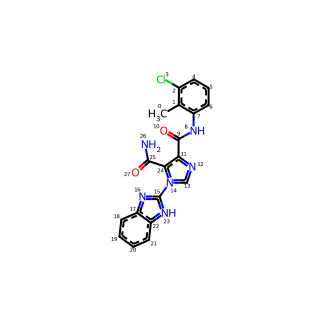 Cc1c(Cl)cccc1NC(=O)c1ncn(-c2nc3ccccc3[nH]2)c1C(N)=O